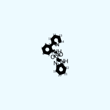 O=S(=O)(Nc1ccccc1-c1ccccn1)c1nc2ccccc2[nH]1